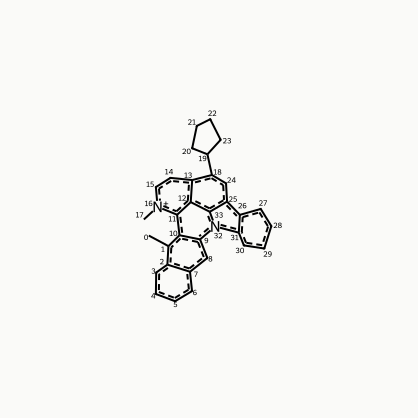 Cc1c2ccccc2cc2c1c1c3c(cc[n+]1C)c(C1CCCC1)cc1c4ccccc4n2c13